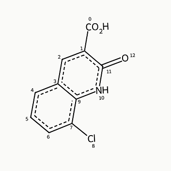 O=C(O)c1cc2cccc(Cl)c2[nH]c1=O